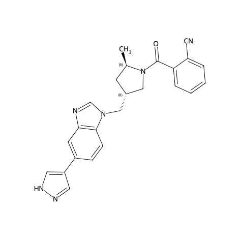 C[C@@H]1C[C@@H](Cn2cnc3cc(-c4cn[nH]c4)ccc32)CN1C(=O)c1ccccc1C#N